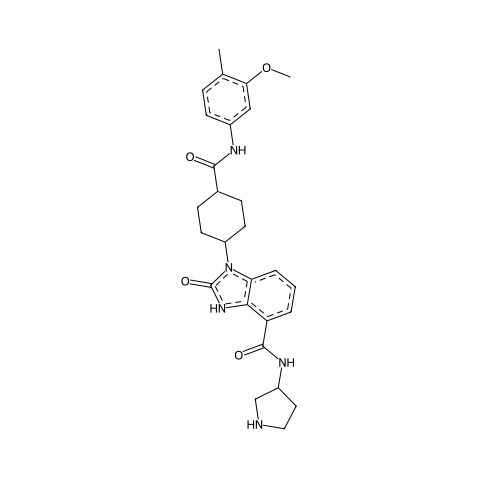 COc1cc(NC(=O)C2CCC(n3c(=O)[nH]c4c(C(=O)NC5CCNC5)cccc43)CC2)ccc1C